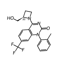 Cc1ccccc1-n1c(=O)nc(N2CC[C@@H]2CO)c2ccc(C(F)(F)F)cc21